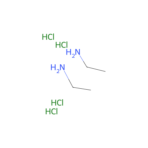 CCN.CCN.Cl.Cl.Cl.Cl